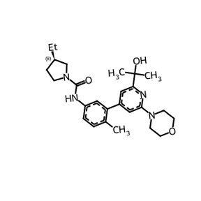 CC[C@@H]1CCN(C(=O)Nc2ccc(C)c(-c3cc(N4CCOCC4)nc(C(C)(C)O)c3)c2)C1